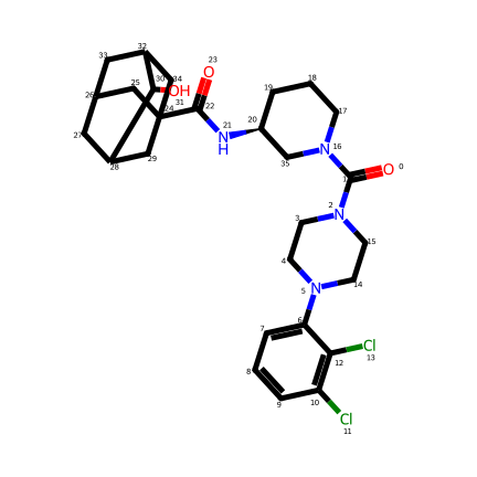 O=C(N1CCN(c2cccc(Cl)c2Cl)CC1)N1CCC[C@H](NC(=O)C23CC4CC(C2)C(O)C(C4)C3)C1